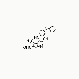 Cc1c(C=O)c(I)n2ncc(C#N)c(Nc3ccc(Oc4ccccc4)cc3)c12